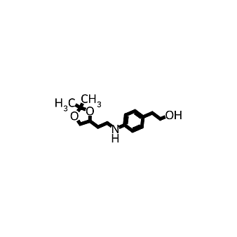 CC1(C)OCC(CCNc2ccc(CCO)cc2)O1